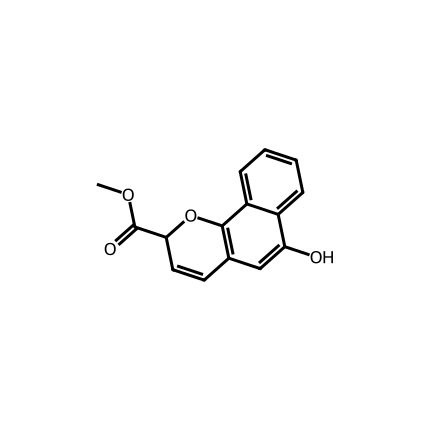 COC(=O)C1C=Cc2cc(O)c3ccccc3c2O1